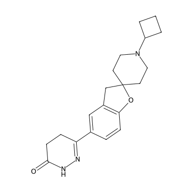 O=C1CCC(c2ccc3c(c2)CC2(CCN(C4CCC4)CC2)O3)=NN1